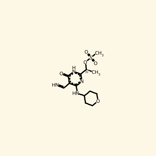 C[C@H](OS(C)(=O)=O)c1nc(NC2CCOCC2)c(C=N)c(=O)[nH]1